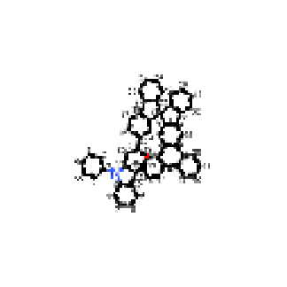 c1ccc(-n2c3ccccc3c3ccc(-c4ccc5c(c4)C4(c6ccccc6-5)c5ccccc5-c5cc6c7ccccc7c7ccccc7c6cc54)cc32)cc1